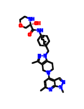 Cc1cc(N2CCc3c(c(C)nn3CC34CCC(NC(=O)[C@@]5(O)COCCN5)(CC3)CC4)C2)c2cnn(C)c2n1